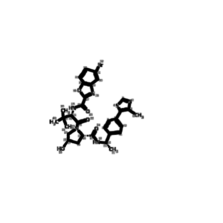 Cc1ncsc1-c1ccc([C@H](C)NC(=O)[C@@H]2C[C@@H](O)CN2C(=O)[C@@H](NC(=O)c2nc3cc(Br)ccc3o2)C(C)(C)C)cc1